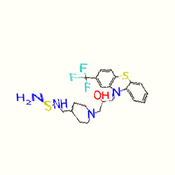 NSNCC1CCN(CC(O)CN2c3ccccc3Sc3ccc(C(F)(F)F)cc32)CC1